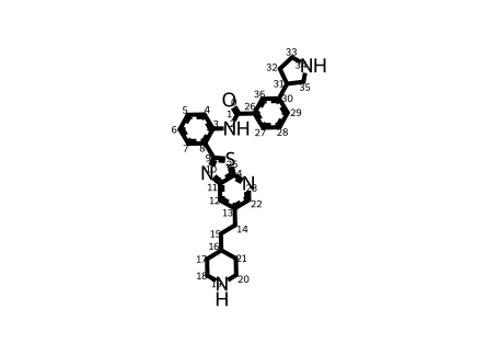 O=C(Nc1ccccc1-c1nc2cc(CCC3CCNCC3)cnc2s1)c1cccc(C2CCNC2)c1